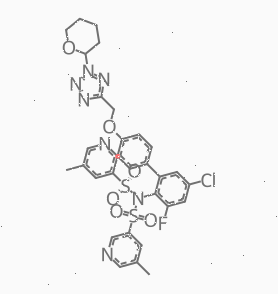 Cc1cncc(S(=O)(=O)N(c2c(F)cc(Cl)cc2-c2ccc(OCc3nnn(C4CCCCO4)n3)cc2)S(=O)(=O)c2cncc(C)c2)c1